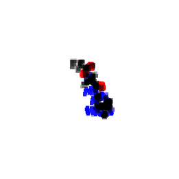 O=C(Nc1ncc2nc[nH]c2n1)C1CN(OC(=O)C(F)(F)F)C1